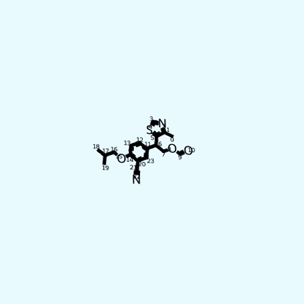 Cc1ncsc1C(COC=O)c1ccc(OCC(C)C)c(C#N)c1